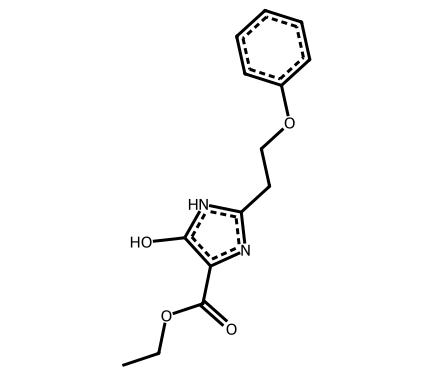 CCOC(=O)c1nc(CCOc2ccccc2)[nH]c1O